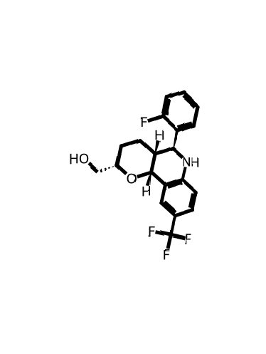 OC[C@@H]1CC[C@@H]2[C@@H](c3ccccc3F)Nc3ccc(C(F)(F)F)cc3[C@@H]2O1